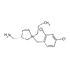 CCC[N+]1(Cc2ccc(Cl)cc2Cl)CC[C@@H](CN)C1